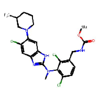 CN(c1nc2cc(Cl)c(N3CCCC(C(F)(F)F)C3)cc2[nH]1)c1c(Cl)ccc(CNC(=O)OC(C)(C)C)c1Cl